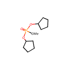 COP(=O)(OC1CCCC1)OC1CCCC1